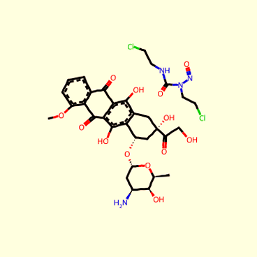 COc1cccc2c1C(=O)c1c(O)c3c(c(O)c1C2=O)C[C@@](O)(C(=O)CO)C[C@@H]3O[C@H]1C[C@H](N)[C@H](O)[C@H](C)O1.O=NN(CCCl)C(=O)NCCCl